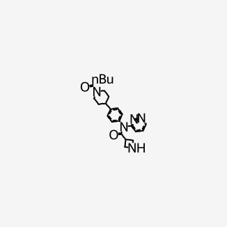 CCCCC(=O)N1CCC(c2ccc(N(C(=O)C3CNC3)c3cccnn3)cc2)CC1